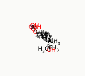 C[C@H](CCCC(C)(C)O)[C@H]1CC[C@H]2[C@@H]3CC=C4C[C@@H](OCOP(=O)(O)O)CC[C@]4(C)[C@H]3CC[C@]12C